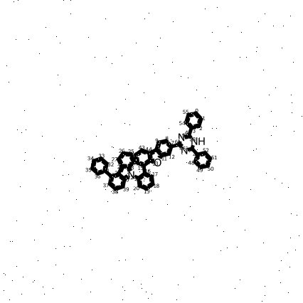 c1ccc(C2=NC(c3ccc4c(c3)oc3c(-c5ccccc5-n5c6ccccc6c6c(-c7ccccc7)cccc65)cccc34)=NC(c3ccccc3)N2)cc1